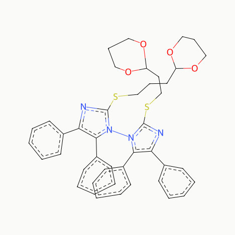 c1ccc(-c2nc(SCCCC3OCCCO3)n(-n3c(SCCC4OCCCO4)nc(-c4ccccc4)c3-c3ccccc3)c2-c2ccccc2)cc1